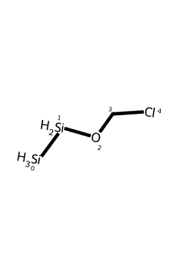 [SiH3][SiH2]OCCl